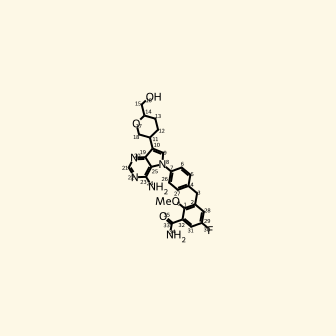 COc1c(Cc2ccc(-n3cc(C4CCC(CO)OC4)c4ncnc(N)c43)cc2)cc(F)cc1C(N)=O